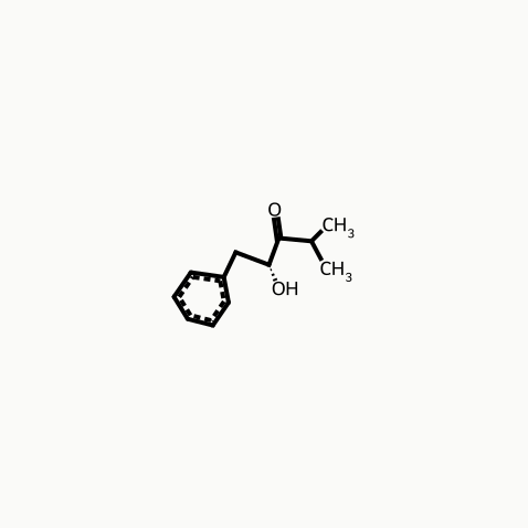 CC(C)C(=O)[C@H](O)Cc1ccccc1